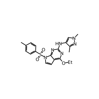 CCOc1nc(Nc2cn(C)nc2C)nc2c1ccn2S(=O)(=O)c1ccc(C)cc1